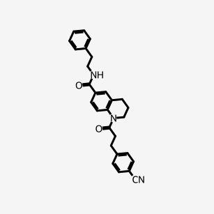 N#Cc1ccc(CCC(=O)N2CCCc3cc(C(=O)NCCc4ccccc4)ccc32)cc1